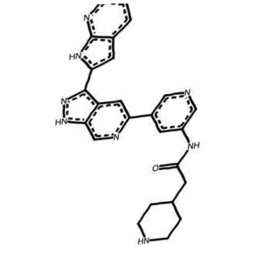 O=C(CC1CCNCC1)Nc1cncc(-c2cc3c(-c4cc5cccnc5[nH]4)n[nH]c3cn2)c1